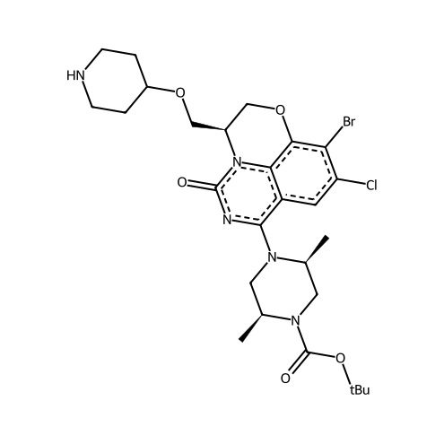 C[C@H]1CN(c2nc(=O)n3c4c(c(Br)c(Cl)cc24)OC[C@@H]3COC2CCNCC2)[C@@H](C)CN1C(=O)OC(C)(C)C